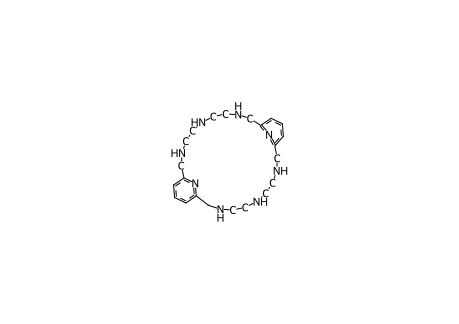 c1cc2nc(c1)CNCCNCCNCc1cccc(n1)CNCCNCCNC2